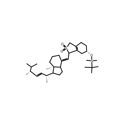 CC(C)[C@@H](C)/C=C/[C@@H](C)C1CCC2/C(=C/C3C4=C(CC[C@H](O[Si](C)(C)C(C)(C)C)C4)CS3(=O)=O)CCC[C@@]21C